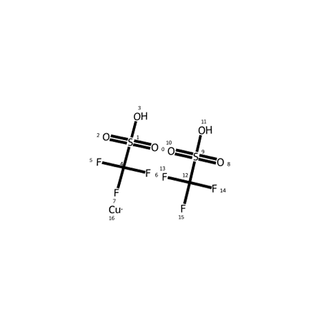 O=S(=O)(O)C(F)(F)F.O=S(=O)(O)C(F)(F)F.[Cu]